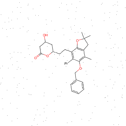 Cc1c2c(c(CCC3CC(O)CC(=O)O3)c(C(C)C)c1OCc1ccccc1)OC(C)(C)C2